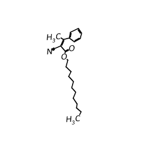 CCCCCCCCCCCCOC(=O)C(C#N)=C(C)c1ccccc1